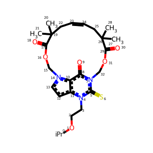 CC(C)OCCn1c(=S)n2c(=O)c3c1ccn3COC(=O)C(C)(C)C/C=C\CC(C)(C)C(=O)OC2